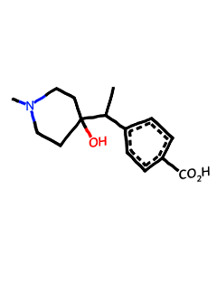 CC(c1ccc(C(=O)O)cc1)C1(O)CCN(C)CC1